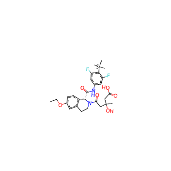 CCOc1ccc2c(c1)CCN(C(=O)CC(C)(O)CC(=O)O)[C@H]2C(=O)Nc1cc(F)c([Si](C)(C)C)c(F)c1